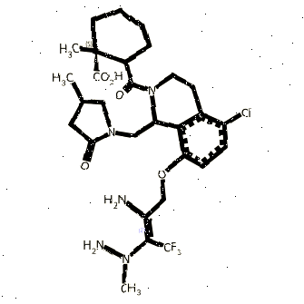 CC1CC(=O)N(CC2c3c(OC/C(N)=C(/N(C)N)C(F)(F)F)ccc(Cl)c3CCN2C(=O)C2CCCC[C@]2(C)C(=O)O)C1